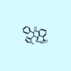 Cn1ccnc1C1c2n[nH]c(=O)c3cccc(c23)NC1c1ccccc1